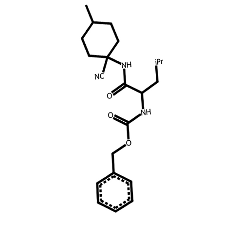 CC(C)CC(NC(=O)OCc1ccccc1)C(=O)NC1(C#N)CCC(C)CC1